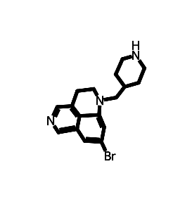 Brc1cc2c3c(cncc3c1)CCN2CC1CCNCC1